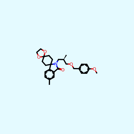 COc1ccc(COC[C@H](C)CN2C(=O)c3cc(C)ccc3C23CCC2(CC3)OCCO2)cc1